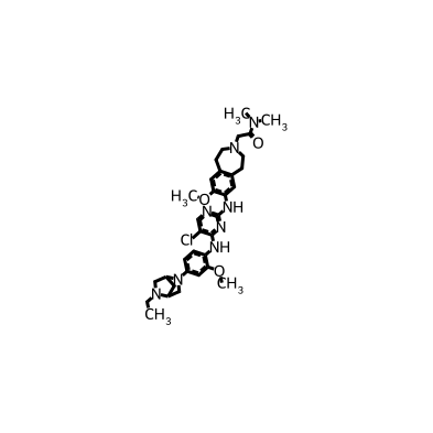 CCN1CC2CC1CN2c1ccc(Nc2nc(Nc3cc4c(cc3OC)CCN(CC(=O)N(C)C)CC4)ncc2Cl)c(OC)c1